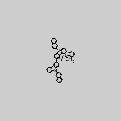 CC1(C)c2ccccc2-c2ccc3c(c21)c1cc(-c2ccc4c(c2)c2ccccc2n4-c2ccc4ccccc4c2)ccc1n3-c1ccc2ccccc2c1